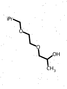 CC(C)COCCOCC(C)O